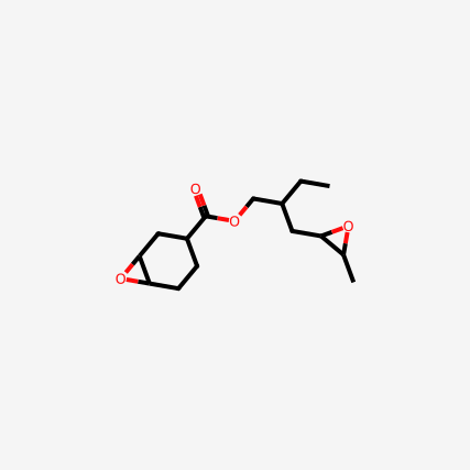 CCC(COC(=O)C1CCC2OC2C1)CC1OC1C